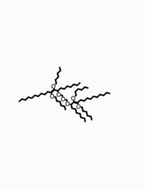 CCCCCCCCCCC(OCCCCCC)=C(OCCCCCC)C(CCCCCCC)OCOCOC(CCCCCCC)C(OCCCCCC)=C(CCCCCCCCCC)OCCCCCC